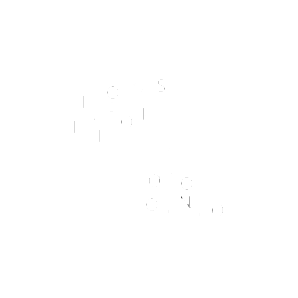 O=C(ON1C(=O)CCC1=O)c1cccc([I+](OC(=O)C(F)(F)F)c2cccs2)c1